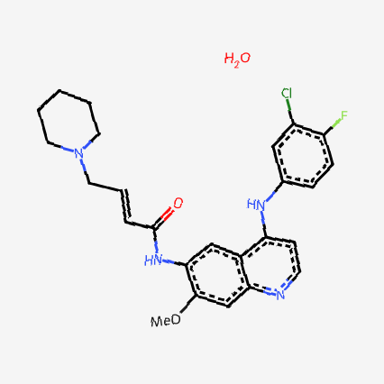 COc1cc2nccc(Nc3ccc(F)c(Cl)c3)c2cc1NC(=O)/C=C/CN1CCCCC1.O